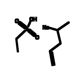 C=CC[CH](C)[Na].CCS(=O)(=O)O